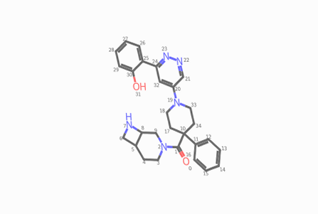 O=C(N1CCC2CNC2C1)C1(c2ccccc2)CCN(c2cnnc(-c3ccccc3O)c2)CC1